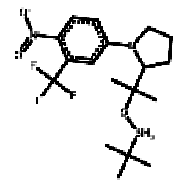 CC(C)(C)[SiH2]OC(C)(C)C1CCCN1c1ccc([N+](=O)[O-])c(C(F)(F)F)c1